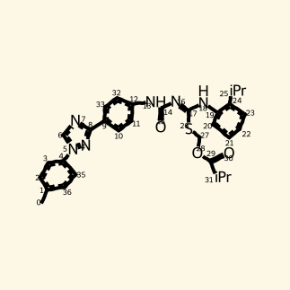 Cc1ccc(-n2cnc(-c3ccc(NC(=O)/N=C(/Nc4ccccc4C(C)C)SCOC(=O)C(C)C)cc3)n2)cc1